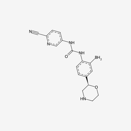 Bc1cc([C@@H]2CNCCO2)ccc1NC(=O)Nc1ccc(C#N)nc1